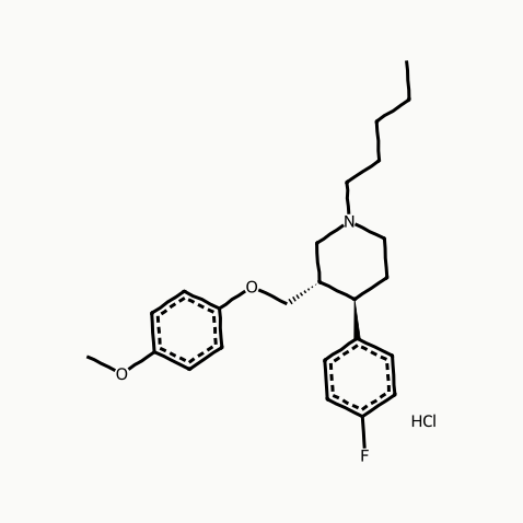 CCCCCN1CC[C@@H](c2ccc(F)cc2)[C@H](COc2ccc(OC)cc2)C1.Cl